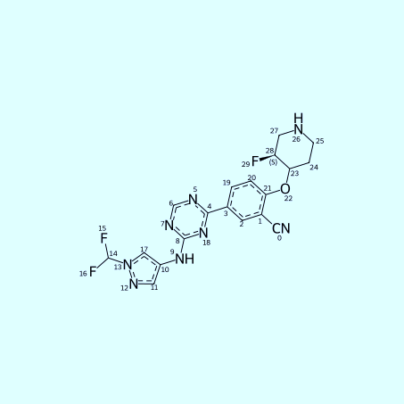 N#Cc1cc(-c2ncnc(Nc3cnn(C(F)F)c3)n2)ccc1OC1CCNC[C@@H]1F